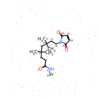 CC(C)NC(=O)CCC(C)(C)CC(C)(C)CCN1C(=O)C=CC1=O